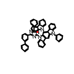 c1ccc(-c2cccc(-c3nc(-c4ccccc4)nc(-n4c5ccccc5c5cc6c(c(-n7c8ccccc8c8ccccc87)c54)c4ccccc4n6-c4ccccc4)n3)c2)cc1